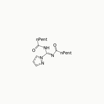 CCCCCC(=O)N=C(NC(=O)CCCCC)n1cccn1